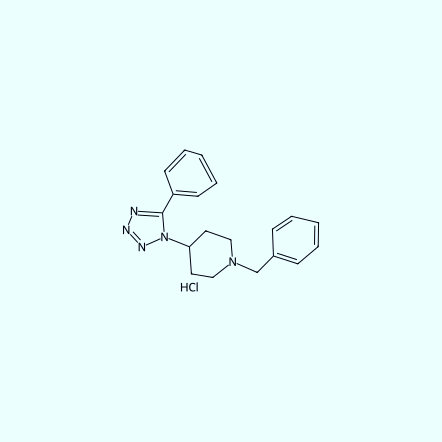 Cl.c1ccc(CN2CCC(n3nnnc3-c3ccccc3)CC2)cc1